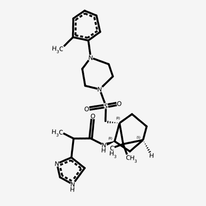 Cc1ccccc1N1CCN(S(=O)(=O)C[C@@]23CC[C@@H](C[C@H]2NC(=O)C(C)c2c[nH]cn2)C3(C)C)CC1